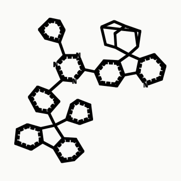 c1ccc(-c2nc(-c3cccc(C4(c5ccccc5)c5ccccc5-c5ccccc54)c3)nc(-c3ccc4c(c3)C3(c5cccnc5-4)C4CC5CC(C4)CC3C5)n2)cc1